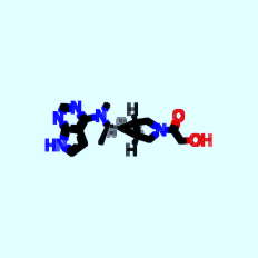 C[C@H]([C@@H]1[C@@H]2CN(C(=O)CO)C[C@@H]21)N(C)c1ncnc2[nH]ccc12